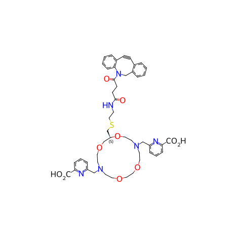 O=C(CCC(=O)N1Cc2ccccc2C#Cc2ccccc21)NCCSC[C@@H]1COCCN(Cc2cccc(C(=O)O)n2)CCOCCOCCN(Cc2cccc(C(=O)O)n2)CCO1